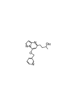 CC(O)CCc1cc(OCc2cccnc2)n2nccc2n1